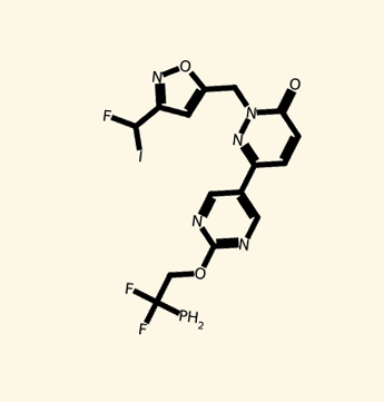 O=c1ccc(-c2cnc(OCC(F)(F)P)nc2)nn1Cc1cc(C(F)I)no1